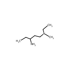 CCC(N)CCN(C)CC